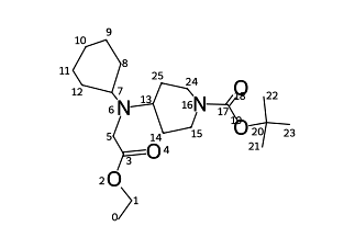 CCOC(=O)CN(C1CCCCC1)C1CCN(C(=O)OC(C)(C)C)CC1